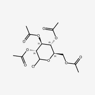 CC(=O)OC[C@H]1OC(Cl)[C@H](OC(C)=O)[C@@H](OC(C)=O)[C@@H]1OC(C)=O